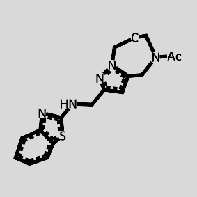 CC(=O)N1CCCn2nc(CNc3nc4ccccc4s3)cc2C1